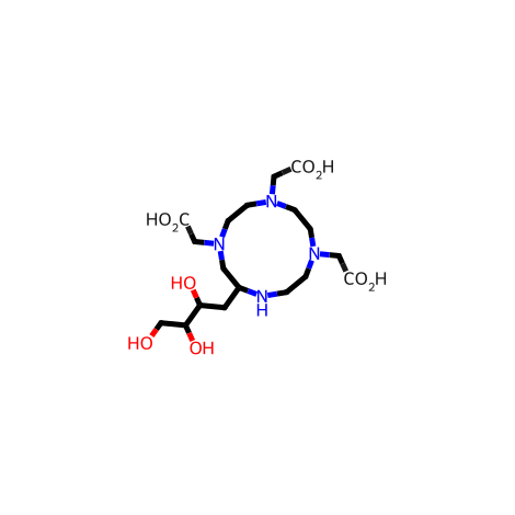 O=C(O)CN1CCNC(CC(O)C(O)CO)CN(CC(=O)O)CCN(CC(=O)O)CC1